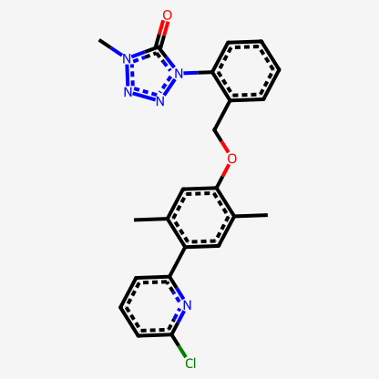 Cc1cc(-c2cccc(Cl)n2)c(C)cc1OCc1ccccc1-n1nnn(C)c1=O